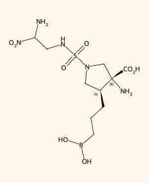 NC(CNS(=O)(=O)N1C[C@H](CCCB(O)O)[C@](N)(C(=O)O)C1)[N+](=O)[O-]